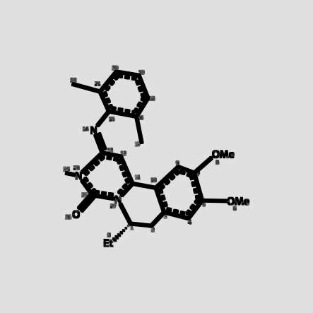 CC[C@H]1Cc2cc(OC)c(OC)cc2-c2cc(=Nc3c(C)cccc3C)n(C)c(=O)n21